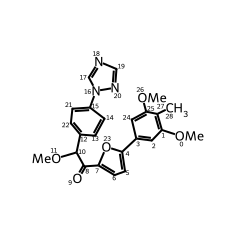 COc1cc(-c2ccc(C(=O)C(OC)c3ccc(-n4cncn4)cc3)o2)cc(OC)c1C